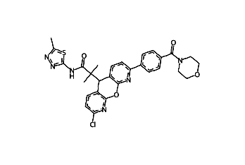 Cc1nnc(NC(=O)C(C)(C)C2c3ccc(Cl)nc3Oc3nc(-c4ccc(C(=O)N5CCOCC5)cc4)ccc32)s1